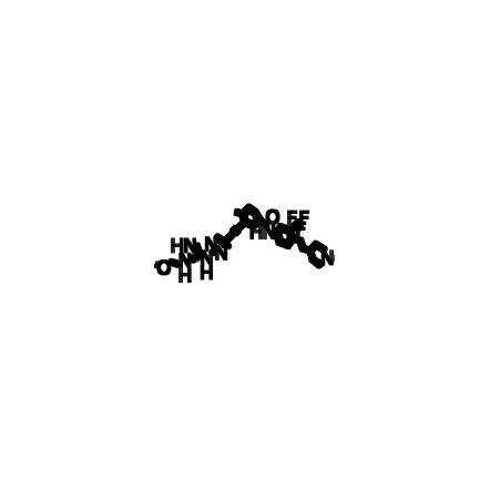 COCCN/C=C(\C=N)Nc1ncc(C#Cc2cc(C(=O)Nc3ccc(CCC4CCN(C)CC4)c(C(F)(F)F)c3)ccc2C)cn1